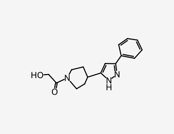 O=C(CO)N1CCC(c2cc(-c3ccccc3)n[nH]2)CC1